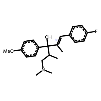 COc1ccc(C(O)(/C(C)=C/c2ccc(F)cc2)C(C)CN(C)C)cc1